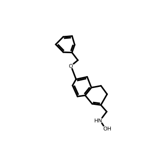 ONCC1=Cc2ccc(OCc3ccccc3)cc2CC1